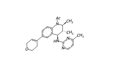 CC(=O)N1c2ccc(C3=CCOCC3)cc2[C@H](Nc2nccc(C)n2)[C@@H](C)[C@@H]1C